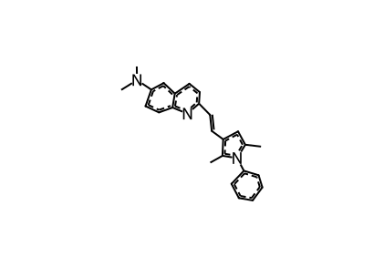 Cc1cc(C=Cc2ccc3cc(N(C)C)ccc3n2)c(C)n1-c1ccccc1